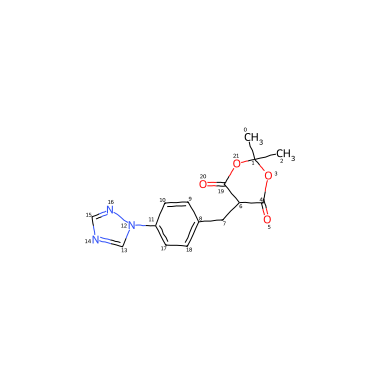 CC1(C)OC(=O)C(Cc2ccc(-n3cncn3)cc2)C(=O)O1